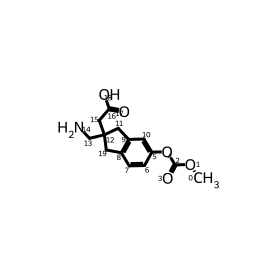 COC(=O)Oc1ccc2c(c1)CC(CN)(CC(=O)O)C2